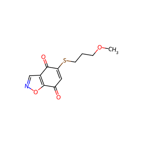 COCCCSC1=CC(=O)c2oncc2C1=O